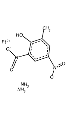 Cc1cc([N+](=O)[O-])cc([N+](=O)[O-])c1O.N.N.[Pt+2]